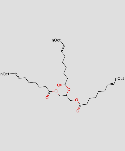 CCCCCCCCC=CCCCCCC(=O)OCC(COC(=O)CCCCCC=CCCCCCCCC)OC(=O)CCCCCC=CCCCCCCCC